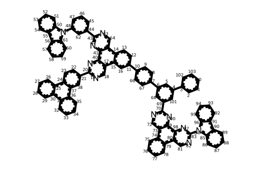 c1ccc(-c2cc(-c3ccc(-c4ccc5c(c4)c4cnc(-c6ccc7c8ccccc8c8ccccc8c7c6)nc4c4nc(-c6cccc(-n7c8ccccc8c8ccccc87)c6)ncc54)cc3)cc(-c3ncc4c5ccccc5c5cnc(-n6c7ccccc7c7ccccc76)nc5c4n3)c2)cc1